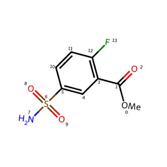 COC(=O)c1cc(S(N)(=O)=O)ccc1F